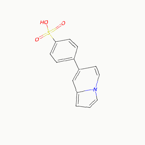 O=S(=O)(O)c1ccc(-c2ccn3cccc3c2)cc1